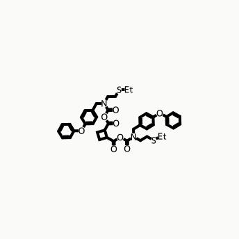 CCSCCN(Cc1ccc(Oc2ccccc2)cc1)C(=O)OC(=O)C1CCC1C(=O)OC(=O)N(CCSCC)Cc1ccc(Oc2ccccc2)cc1